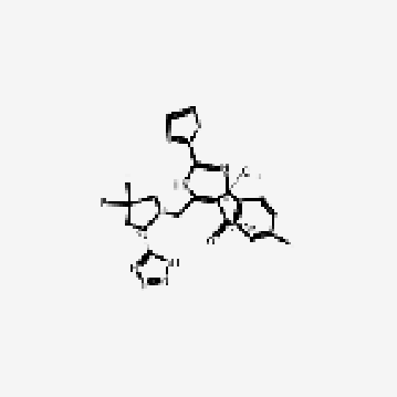 COC(=O)C1=C(CN2CC(F)(F)C[C@H]2c2nnn[nH]2)NC(c2nccs2)=N[C@@]1(C)c1ccc(F)cc1